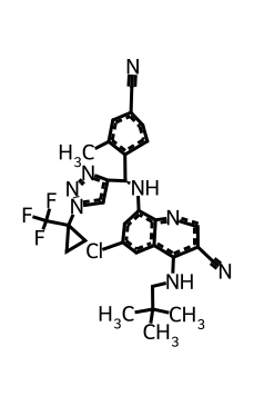 Cc1cc(C#N)ccc1[C@H](Nc1cc(Cl)cc2c(NCC(C)(C)C)c(C#N)cnc12)c1cn(C2(C(F)(F)F)CC2)nn1